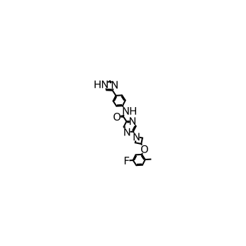 Cc1ccc(F)cc1OC1CN(c2cnc(C(=O)Nc3ccc(-c4c[nH]cn4)cc3)cn2)C1